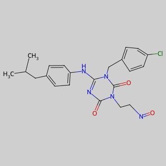 CC(C)Cc1ccc(Nc2nc(=O)n(CCN=O)c(=O)n2Cc2ccc(Cl)cc2)cc1